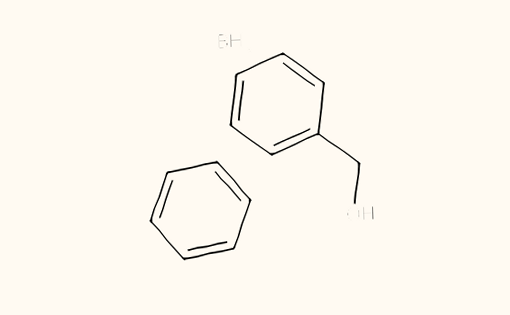 B.OCc1ccccc1.c1ccccc1